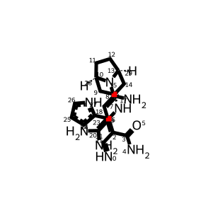 N=C/C(C(N)=O)=C(/N[C@@H]1C[C@H]2CC[C@@H](C1)N2/C(N)=C/C=C(N)N)c1ccc[nH]1